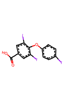 O=C(O)c1cc(I)c(Oc2ccc(I)cc2)c(I)c1